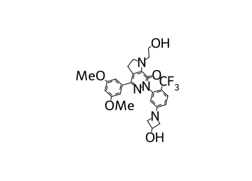 COc1cc(OC)cc(-c2nn(-c3cc(N4CC(O)C4)ccc3C(F)(F)F)c(=O)c3c2CCN3CCO)c1